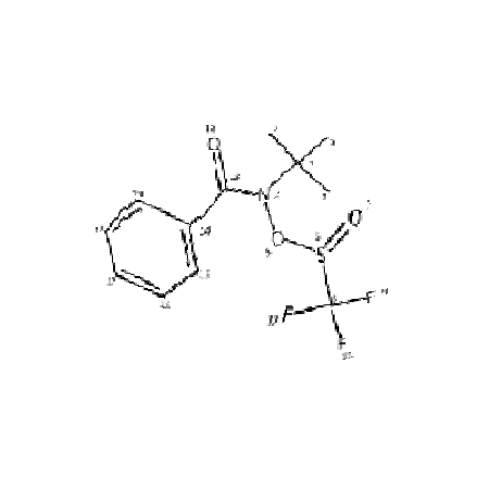 CC(C)(C)N(OS(=O)C(F)(F)F)C(=O)c1ccccc1